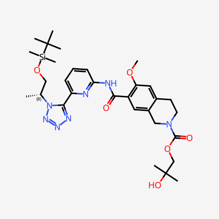 COc1cc2c(cc1C(=O)Nc1cccc(-c3nnnn3[C@H](C)CO[Si](C)(C)C(C)(C)C)n1)CN(C(=O)OCC(C)(C)O)CC2